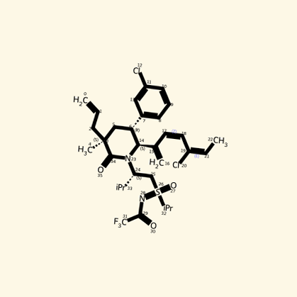 C=CC[C@@]1(C)C[C@H](c2cccc(Cl)c2)[C@@H](C(=C)/C=C\C(Cl)=C/C)N([C@H](CS(=O)(=NC(=O)C(F)(F)F)C(C)C)C(C)C)C1=O